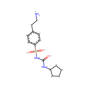 NCCc1ccc(S(=O)(=O)NC(=O)NC2CCCC2)cc1